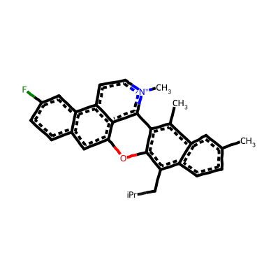 Cc1ccc2c(CC(C)C)c3c(c(C)c2c1)-c1c2c(cc4ccc(F)cc4c2cc[n+]1C)O3